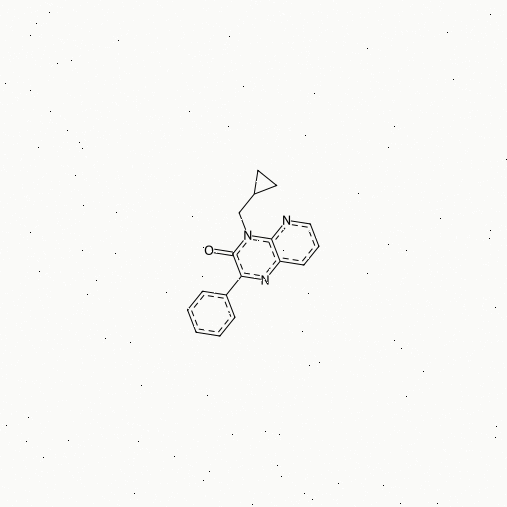 O=c1c(-c2ccccc2)nc2cccnc2n1CC1CC1